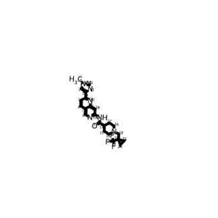 Cn1cc(-c2ccc3cnc(NC(=O)C4CCN(CC5(C(F)(F)F)CC5)CC4)cc3n2)nn1